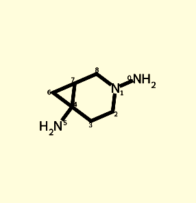 NN1CCC2(N)CC2C1